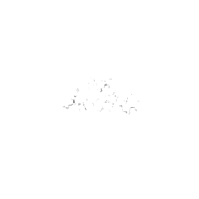 COC(=O)CC[C@H](N)C(=O)N1CCCC[C@H]1C(=O)N[C@H](C(=O)N[C@@H](CCCNC(N)=O)C(N)=O)c1c[nH]c2ccccc12